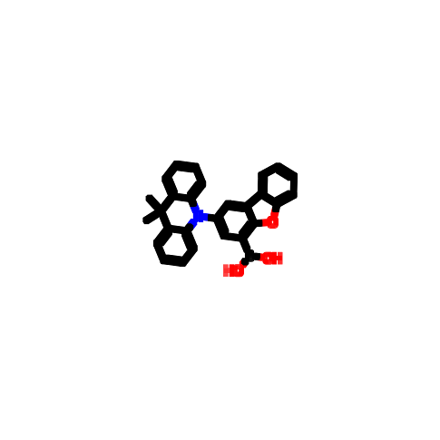 CC1(C)c2ccccc2N(c2cc(B(O)O)c3oc4ccccc4c3c2)c2ccccc21